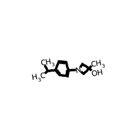 CC(C)c1ccc(N2CC(C)(O)C2)cc1